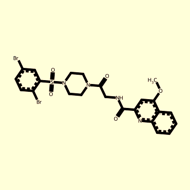 COc1cc(C(=O)NCC(=O)N2CCN(S(=O)(=O)c3cc(Br)ccc3Br)CC2)nc2ccccc12